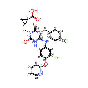 O=C(O)[C@@H]1C[C@H]1Cn1c(=O)[nH]/c(=N\c2ccc(Oc3ccccn3)c(F)c2)n(Cc2ccc(Cl)cc2)c1=O